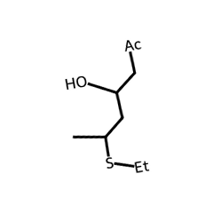 CCSC(C)CC(O)CC(C)=O